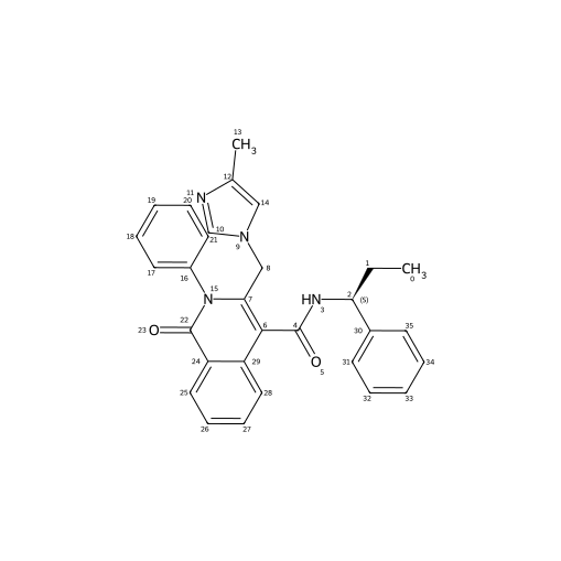 CC[C@H](NC(=O)c1c(Cn2cnc(C)c2)n(-c2ccccc2)c(=O)c2ccccc12)c1ccccc1